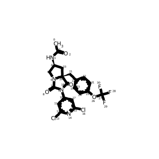 CC(=O)N[C@@H]1CN2C(=O)N(c3cc(Cl)nc(Cl)c3)C(=O)[C@@]2(Cc2ccc(OC(F)(F)F)cc2)C1